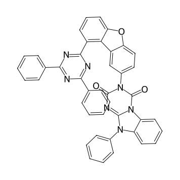 O=c1nc2n(-c3ccccc3)c3ccccc3n2c(=O)n1-c1ccc2oc3cccc(-c4nc(-c5ccccc5)nc(-c5ccccc5)n4)c3c2c1